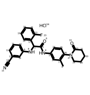 Cc1cc(NC(=O)C(Nc2cccc(C#N)c2)c2ccccc2F)ccc1N1CCCCC1=O.Cl